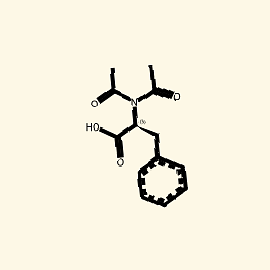 CC(=O)N(C(C)=O)[C@@H](Cc1ccccc1)C(=O)O